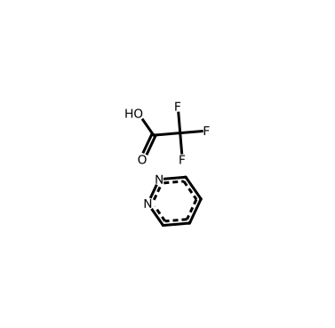 O=C(O)C(F)(F)F.c1ccnnc1